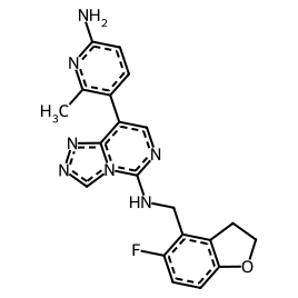 Cc1nc(N)ccc1-c1cnc(NCc2c(F)ccc3c2CCO3)n2cnnc12